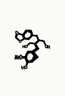 COc1cc(CC(CO)C(CO)Cc2ccc3c(c2)OCO3)ccc1O